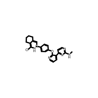 CNc1nccc(-c2cccnc2Oc2ccc(N3C=C4CCCCC4=C(Cl)N3)cc2)n1